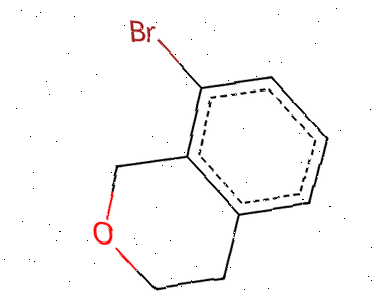 Brc1cccc2c1COCC2